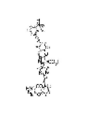 O=C(O)c1[nH]nnc1Oc1cccc(C#Cc2ncc(-n3nnc(Oc4ccc(C#Cc5cccc6[nH]ncc56)cc4F)c3C(=O)O)cn2)c1